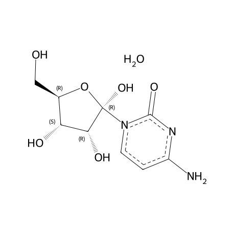 Nc1ccn([C@]2(O)O[C@H](CO)[C@@H](O)[C@H]2O)c(=O)n1.O